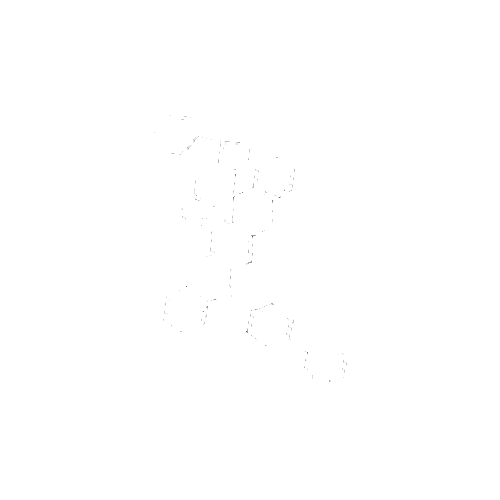 c1ccc(-c2ccc(N(c3ccccc3)c3ccc4c(c3)Sc3ccccc3C43c4ccccc4-n4c5ccccc5c5cccc3c54)cc2)cc1